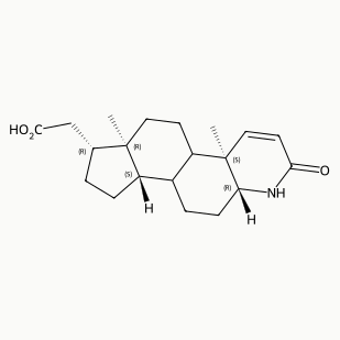 C[C@]12CCC3C(CC[C@H]4NC(=O)C=C[C@]34C)[C@@H]1CC[C@@H]2CC(=O)O